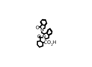 O=C(O)C1CCCCC1C(=O)N1CCc2ccccc2C1CN1Cc2ccccc2C1=O